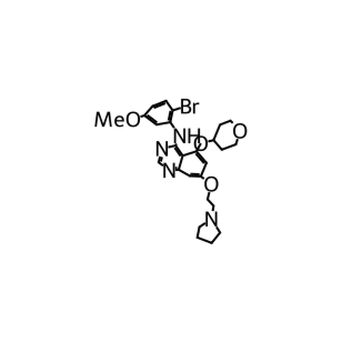 COc1ccc(Br)c(Nc2ncnc3cc(OCCN4CCCC4)cc(OC4CCOCC4)c23)c1